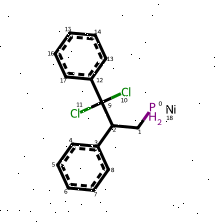 PCC(c1ccccc1)C(Cl)(Cl)c1ccccc1.[Ni]